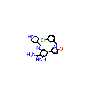 Nc1n[nH]c2cc(-c3ccc(=O)n(Cc4cccc(Cl)c4)c3)cc(NCC3CCNCC3)c12